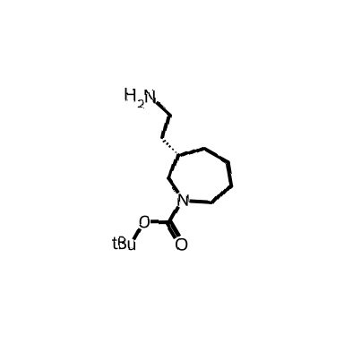 CC(C)(C)OC(=O)N1CCCC[C@@H](CCN)C1